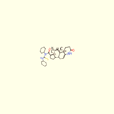 C[C@]12CCC3C(CC=C4NC(=O)CC[C@@]43C)C1CCC2C(=O)N(C(=S)NC1CCCCC1)C1CCCCC1